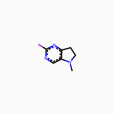 CN1CCc2nc(I)ncc21